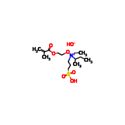 C=C(C)C(=O)OCCO[N+](CC)(CCCS(=O)(=O)O)C(C)CC.[OH-]